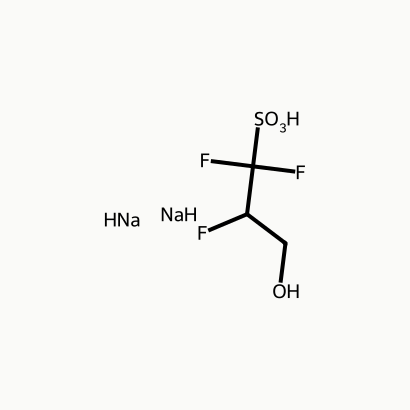 O=S(=O)(O)C(F)(F)C(F)CO.[NaH].[NaH]